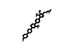 C/C=C/CCc1ccc(-c2ccc(-c3ccc(C4CCC(C5CCC(I)CC5)CC4)cc3F)cc2)c(F)c1F